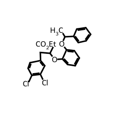 CCOC(=O)C(Cc1ccc(Cl)c(Cl)c1)Oc1ccccc1OC(C)c1ccccc1